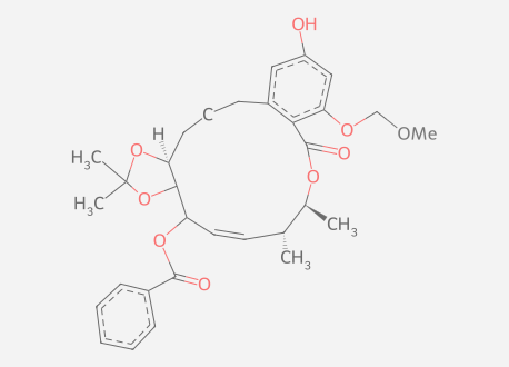 COCOc1cc(O)cc2c1C(=O)O[C@@H](C)[C@H](C)/C=C\C(OC(=O)c1ccccc1)C1OC(C)(C)O[C@H]1CCC2